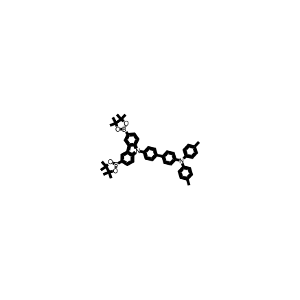 Cc1ccc(N(c2ccc(C)cc2)c2ccc(-c3ccc(-n4c5ccc(B6OC(C)(C)C(C)(C)O6)cc5c5cc(B6OC(C)(C)C(C)(C)O6)ccc54)cc3)cc2)cc1